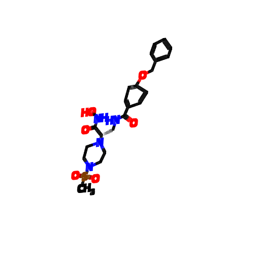 CS(=O)(=O)N1CCN([C@@H](CNC(=O)c2ccc(OCc3ccccc3)cc2)C(=O)NO)CC1